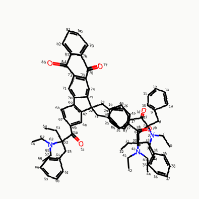 CCN(CC)C(CC)(Cc1ccccc1)C(=O)c1ccc(CC2(Cc3ccc(C(=O)C(CC)(Cc4ccccc4)N(CC)CC)cc3)c3cc(C(=O)C(CC)(Cc4ccccc4)N(CC)CC)ccc3-c3cc4c(cc32)C(=O)c2ccccc2C4=O)cc1